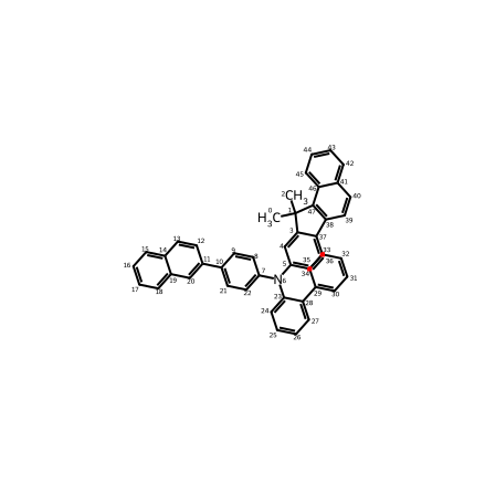 CC1(C)c2cc(N(c3ccc(-c4ccc5ccccc5c4)cc3)c3ccccc3-c3ccccc3)ccc2-c2ccc3ccccc3c21